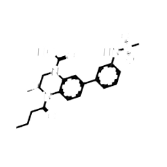 CCCC(=O)N1c2ccc(-c3cccc(NS(C)(=O)=O)c3)cc2N(C(=O)O)C[C@@H]1C